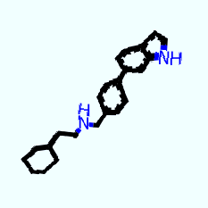 c1cc2ccc(-c3ccc(CNCCC4CCCCC4)cc3)cc2[nH]1